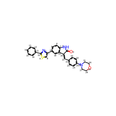 O=C1Nc2ccc(-c3csc(-c4ccccc4)n3)cc2/C1=C/c1ccc(N2CCOCC2)cc1